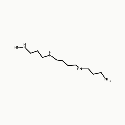 [NH]NCCCNCCCCNCCCN